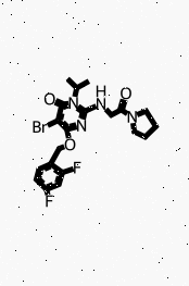 CC(C)n1c(NCC(=O)N2CCCC2)nc(OCc2ccc(F)cc2F)c(Br)c1=O